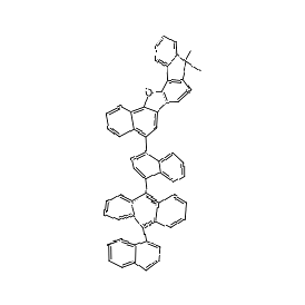 CC1(C)c2ccccc2-c2c1ccc1c2oc2c3ccccc3c(-c3ccc(-c4c5ccccc5c(-c5cccc6ccccc56)c5ccccc45)c4ccccc34)cc12